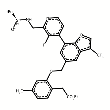 CCOC(=O)Cc1ccc(C)cc1OCc1cc(-c2ccnc(CN[S@@+]([O-])C(C)(C)C)c2F)c2occ(C(F)(F)F)c2c1